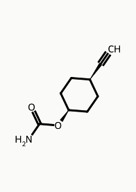 C#C[C@H]1CC[C@@H](OC(N)=O)CC1